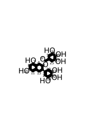 O=C(O[C@@H]1Cc2c(O)cc(O)cc2C[C@@H]1c1cc(O)c(O)c(O)c1)c1cc(O)c(O)c(O)c1